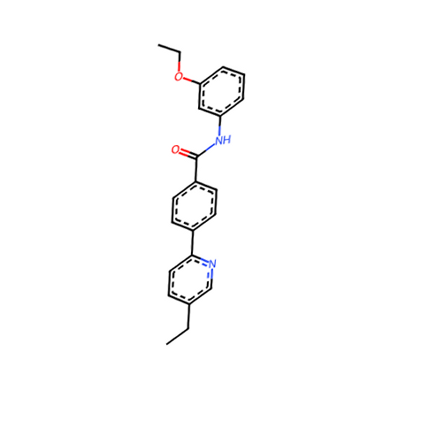 CCOc1cccc(NC(=O)c2ccc(-c3ccc(CC)cn3)cc2)c1